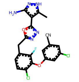 Cc1[nH]nc(N)c1-c1nnc(Cc2ccc(Cl)c(Oc3cc(Cl)cc(C#N)c3)c2F)o1